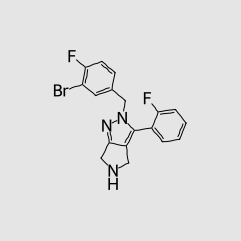 Fc1ccc(Cn2nc3c(c2-c2ccccc2F)CNC3)cc1Br